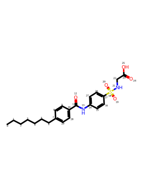 CCCCCCCc1ccc(C(=O)Nc2ccc(S(=O)(=O)NCC(=O)O)cc2)cc1